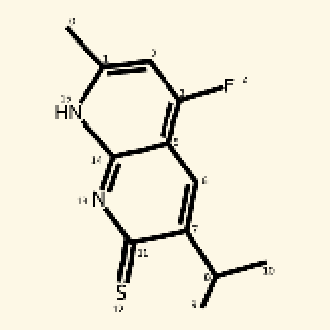 Cc1cc(F)c2cc(C(C)C)c(=S)nc-2[nH]1